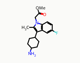 COC(=O)Cn1c(C)c(C2CCC(N)CC2)c2cc(F)ccc21